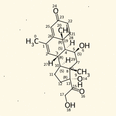 CC1=C[C@@H]2[C@H]([C@@H](O)C[C@@]3(C)[C@H]2CC[C@]3(O)C(=O)CO)[C@@]2(C)C=CC(=O)C=C12